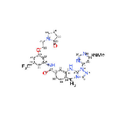 CNc1cc(-n2ncnc2Nc2cc(C(=O)Nc3cc(OCCN4CCCC4=O)cc(C(F)(F)F)c3)ccc2C)ncn1